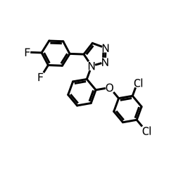 Fc1ccc(-c2cnnn2-c2ccccc2Oc2ccc(Cl)cc2Cl)cc1F